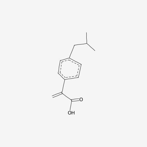 C=C(C(=O)O)c1ccc(CC(C)C)cc1